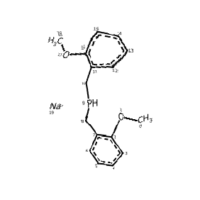 COc1ccccc1CPCc1ccccc1OC.[Na]